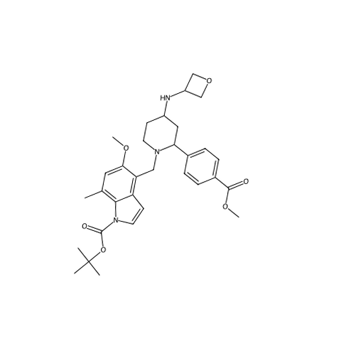 COC(=O)c1ccc(C2CC(NC3COC3)CCN2Cc2c(OC)cc(C)c3c2ccn3C(=O)OC(C)(C)C)cc1